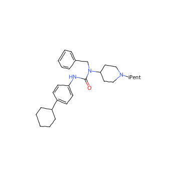 CCCC(C)N1CCC(N(Cc2ccccc2)C(=O)Nc2ccc(C3CCCCC3)cc2)CC1